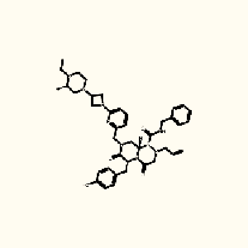 C=CCN1CC(=O)N2[C@@H](Cc3ccc(O)cc3)C(=O)N(Cc3cccc(N4CC(N5CCN(CC)[C@H](C)C5)C4)n3)C[C@@H]2N1C(=O)NCc1ccccc1